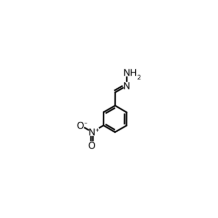 NN=Cc1cccc([N+](=O)[O-])c1